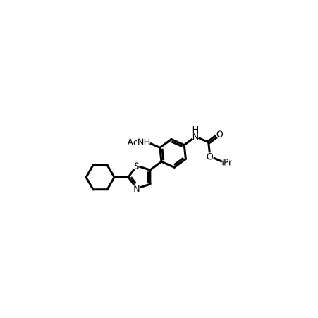 CC(=O)Nc1cc(NC(=O)OC(C)C)ccc1-c1cnc(C2CCCCC2)s1